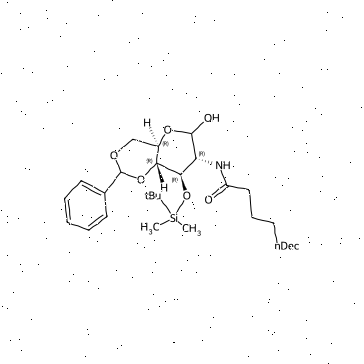 CCCCCCCCCCCCCC(=O)N[C@H]1C(O)O[C@@H]2COC(c3ccccc3)O[C@H]2[C@@H]1O[Si](C)(C)C(C)(C)C